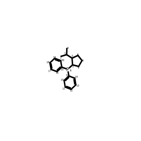 CC(C)C1CCCC1P(c1ccccc1)c1ccccc1